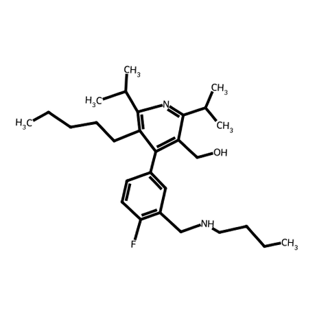 CCCCCc1c(C(C)C)nc(C(C)C)c(CO)c1-c1ccc(F)c(CNCCCC)c1